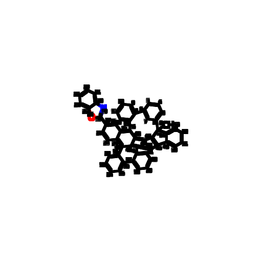 CC12c3cccc(c3)-c3ccccc3-c3c4cc(-c5nc6ccccc6o5)ccc4c(-c4ccccc4-c4ccccc4)c4cc(c1cc34)-c1ccccc12